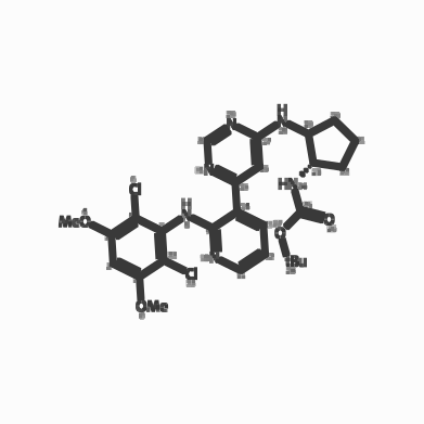 COc1cc(OC)c(Cl)c(Nc2ncccc2-c2cc(NC3CCC[C@@H]3NC(=O)OC(C)(C)C)ncn2)c1Cl